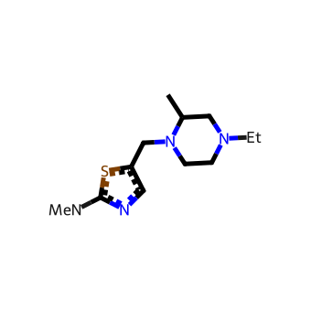 CCN1CCN(Cc2cnc(NC)s2)C(C)C1